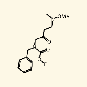 CON(C)CCC(=O)CN(Cc1ccccc1)C(=O)OF